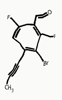 CC#Cc1cc(F)c(C=O)c(F)c1Br